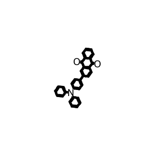 O=C1c2ccccc2C(=O)c2cc(-c3ccc(N(c4ccccc4)c4ccccc4)cc3)ccc21